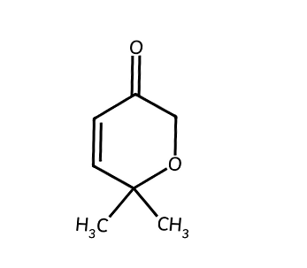 CC1(C)C=CC(=O)CO1